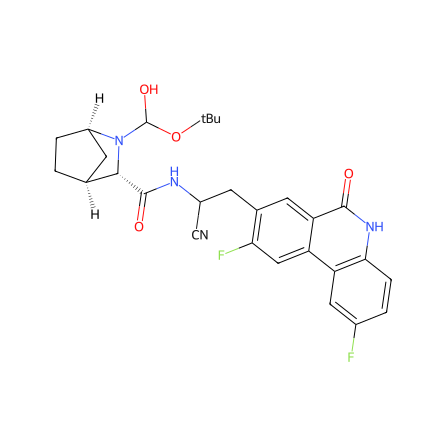 CC(C)(C)OC(O)N1[C@@H]2CC[C@@H](C2)[C@H]1C(=O)NC(C#N)Cc1cc2c(=O)[nH]c3ccc(F)cc3c2cc1F